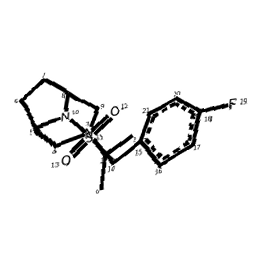 CC(C)N1CC2CCC(C1)N2S(=O)(=O)Cc1ccc(F)cc1